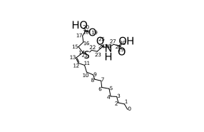 CCCCCCCCCCCC/C=C\C(CCCC(=O)O)SCCC(=O)NCC(=O)O